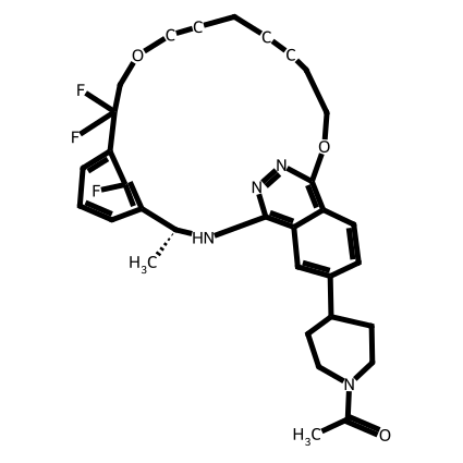 CC(=O)N1CCC(c2ccc3c4nnc(c3c2)N[C@H](C)c2cccc(c2F)C(F)(F)COCCCCCCCO4)CC1